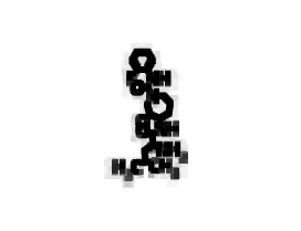 CC(C)C[C@H](N)C(=O)NC1CCCN(C(=O)Nc2ccccc2F)CC1=O